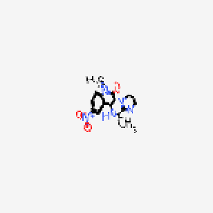 C[C@@H](Nc1cc(=O)n(C)c2ccc([N+](=O)[O-])cc12)c1ncccn1